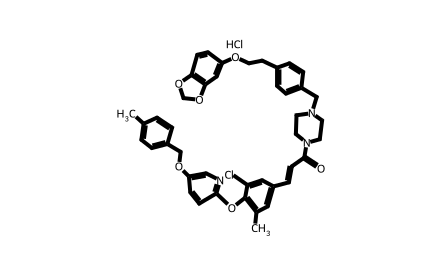 Cc1ccc(COc2ccc(Oc3c(C)cc(/C=C/C(=O)N4CCN(Cc5ccc(CCOc6ccc7c(c6)OCO7)cc5)CC4)cc3Cl)nc2)cc1.Cl